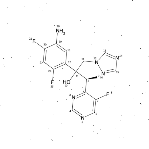 C[C@@H](c1ncncc1F)C(O)(Cn1cncn1)c1cc(N)c(F)cc1F